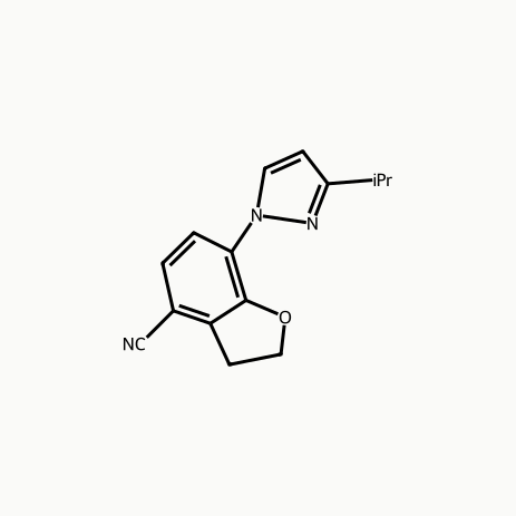 CC(C)c1ccn(-c2ccc(C#N)c3c2OCC3)n1